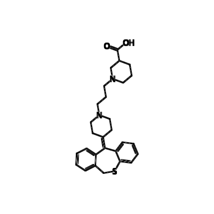 O=C(O)C1CCCN(CCCN2CCC(=C3c4ccccc4CSc4ccccc43)CC2)C1